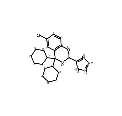 Clc1ccc2c(c1)C(C1CCCCC1)(C1CCCCC1)OC(c1nnn[nH]1)O2